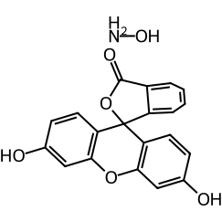 NO.O=C1OC2(c3ccc(O)cc3Oc3cc(O)ccc32)c2ccccc21